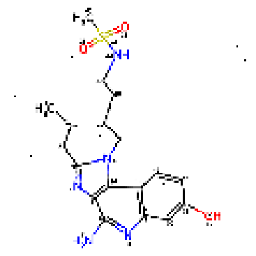 CCCc1nc2c(N)nc3cc(O)ccc3c2n1CCCCNS(C)(=O)=O